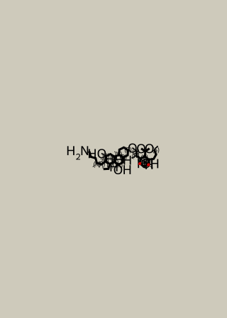 C[C@H]1[C@@H](O[C@@H]2CC[C@@]3(C)[C@@H](C2)C[C@@H](O)[C@@H]2[C@@H]3C[C@H](O)[C@]3(C)[C@@H]([C@H](C)CCCN)CC[C@@H]23)OC2O[C@@H](C)CC[C@H]3[C@H](C)CC[C@@H]1[C@@]23OO